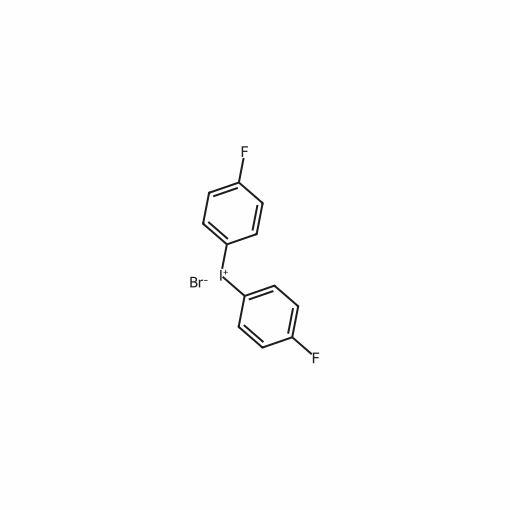 Fc1ccc([I+]c2ccc(F)cc2)cc1.[Br-]